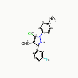 O=Cc1c(-c2cccc(F)c2)nn(-c2ccc([N+](=O)[O-])cc2)c1Cl